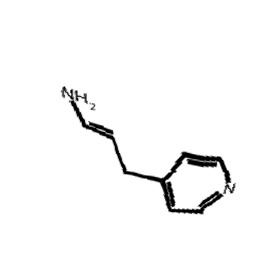 NC=CCc1ccncc1